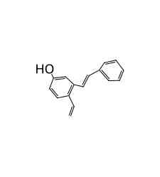 C=Cc1ccc(O)cc1C=Cc1ccccc1